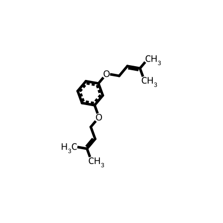 CC(C)=CCOc1cccc(OCC=C(C)C)c1